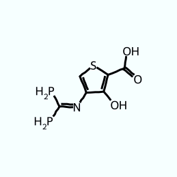 O=C(O)c1scc(N=C(P)P)c1O